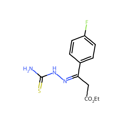 CCOC(=O)C/C(=N/NC(N)=S)c1ccc(F)cc1